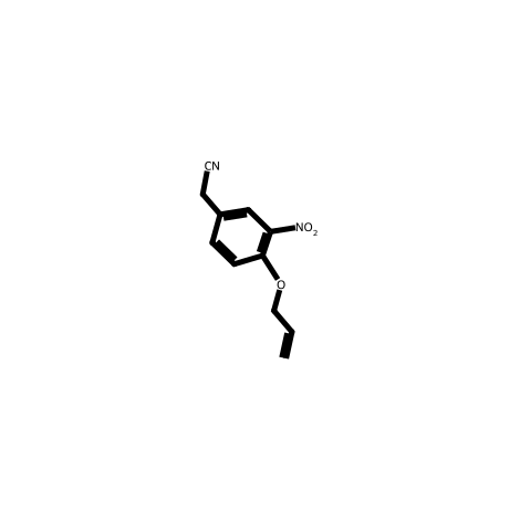 C=CCOc1ccc(CC#N)cc1[N+](=O)[O-]